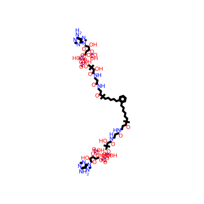 CC(C)(CCCCCCc1ccccc1CCCCCC(C)(C)C(=O)CCNC(=O)CCNC(=O)C(O)C(C)(C)COP(=O)(O)OP(=O)(O)OCC1OC(n2cnc3c(N)ncnc32)C(O)C1OP(=O)(O)O)C(=O)CCNC(=O)CCNC(=O)C(O)C(C)(C)COP(=O)(O)OP(=O)(O)OCC1OC(n2cnc3c(N)ncnc32)C(O)C1OP(=O)(O)O